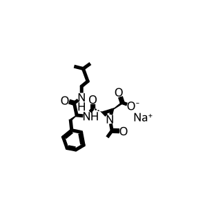 CC(=O)N1[C@H](C(=O)[O-])[C@H]1C(=O)N[C@@H](Cc1ccccc1)C(=O)NCCC(C)C.[Na+]